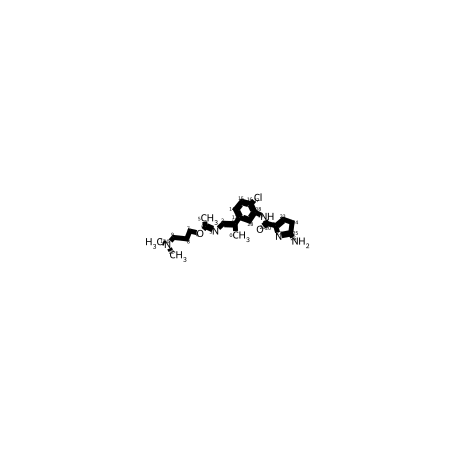 C/C(=C\N=C(/C)OCCCN(C)C)c1ccc(Cl)c(NC(=O)C2=CCC(N)=N2)c1